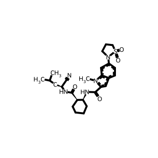 CC(C)C[C@@H](C#N)NC(=O)[C@@H]1CCCC[C@@H]1NC(=O)c1cc2ccc(N3CCCS3(=O)=O)cc2n1C